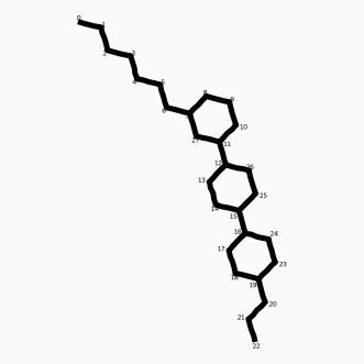 CCCCCCCC1CCCC(C2CCC(C3CCC(CCC)CC3)CC2)C1